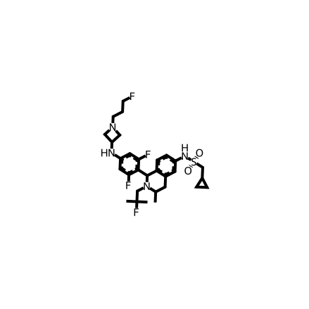 CC1Cc2cc(NS(=O)(=O)CC3CC3)ccc2C(c2c(F)cc(NC3CN(CCCF)C3)cc2F)N1CC(C)(C)F